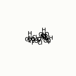 CC(C)(C)OC(=O)Nc1nn(-c2cc(Cl)c(Oc3ccc4c(c3F)C3(CC3)C(=O)N4)c(Cl)c2)c(=O)[nH]c1=O